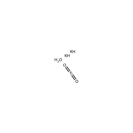 O.[KH].[KH].[O]=[Ti]=[O]